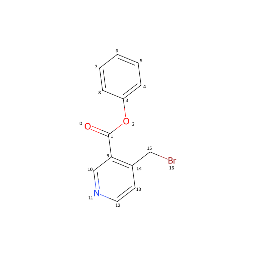 O=C(Oc1ccccc1)c1cnccc1CBr